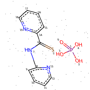 O=P(O)(O)O.S=C(Nc1ccccn1)c1ccccn1